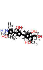 Cc1cc(C(C)(C)c2c(C)cc(C(C)(C)c3cc(C)c(/C(=C/C(O)(C(F)(F)F)C(F)(F)F)CC(O)(C(F)(F)F)C(F)(F)F)c(C(O)(C(F)(F)F)C(F)(F)F)c3)cc2C(O)(C(F)(F)F)C(F)(F)F)cc(C(O)(C(F)(F)F)C(F)(F)F)c1N